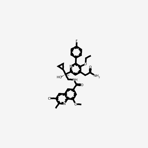 CCOc1c(CC(N)=O)cc([C@@](O)(CNC(=O)c2cc(OC)c3nc(C)c(Cl)cc3c2)C2CC2)nc1-c1ccc(F)cc1